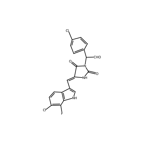 O=CC(c1ccc(Cl)cc1)N1C(=O)N/C(=C\c2c[nH]c3c(F)c(Cl)ccc23)C1=O